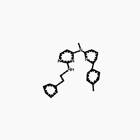 Cc1ccc(-c2cccc(N(C)c3ccnc(NCCc4ccccc4)n3)n2)cc1